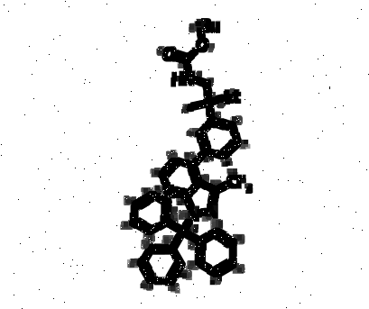 CCC(C)(CNC(=O)OC(C)(C)C)c1cccc(-c2ccnc3c2c(C(F)(F)F)nn3C(c2ccccc2)(c2ccccc2)c2ccccc2)c1